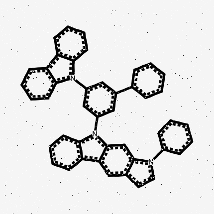 c1ccc(-c2cc(-n3c4ccccc4c4ccccc43)cc(-n3c4ccccc4c4cc5ccn(-c6ccccc6)c5cc43)c2)cc1